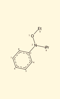 CCON(c1ccccc1)C(C)C